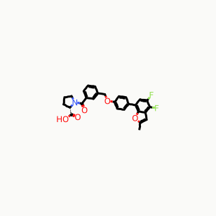 Cc1cc2c(F)c(F)cc(-c3ccc(OCc4cccc(C(=O)N5CCC[C@H]5C(=O)O)c4)cc3)c2o1